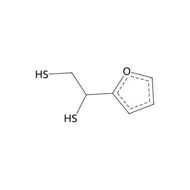 SCC(S)c1ccco1